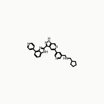 c1cc(-c2ccncc2)c2nc(-c3n[nH]c4cnc(-c5cncc(CNCC6CCCC6)c5)cc34)[nH]c2c1